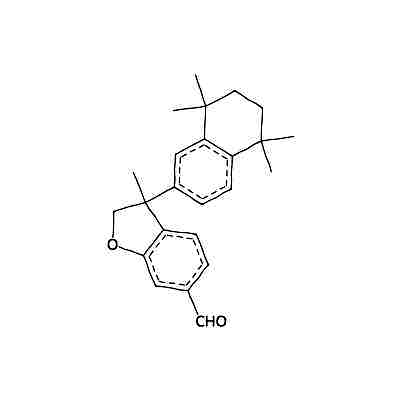 CC1(C)CCC(C)(C)c2cc(C3(C)COc4cc(C=O)ccc43)ccc21